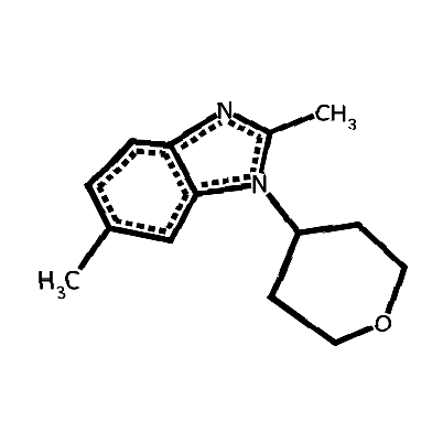 Cc1ccc2nc(C)n(C3CCOCC3)c2c1